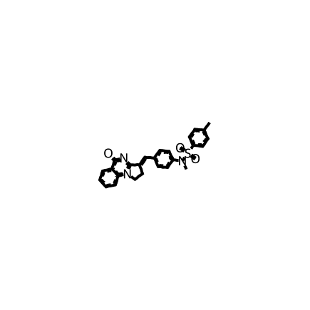 Cc1ccc(S(=O)(=O)N(C)c2ccc(C=C3CCn4c3nc(=O)c3ccccc34)cc2)cc1